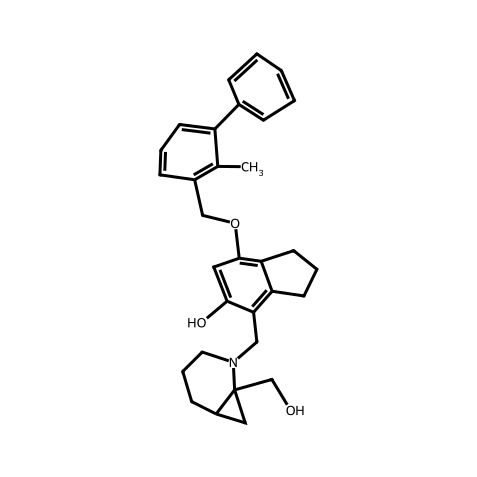 Cc1c(COc2cc(O)c(CN3CCCC4CC43CO)c3c2CCC3)cccc1-c1ccccc1